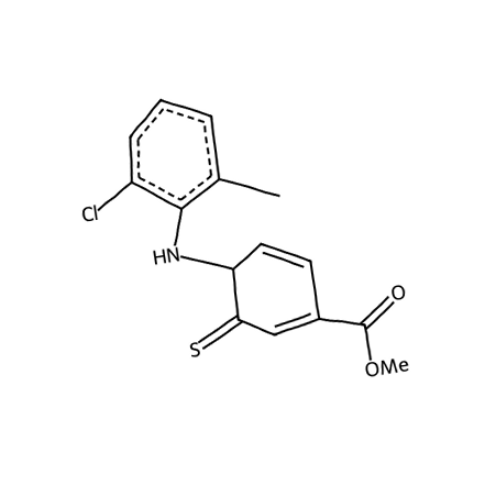 COC(=O)C1=CC(=S)C(Nc2c(C)cccc2Cl)C=C1